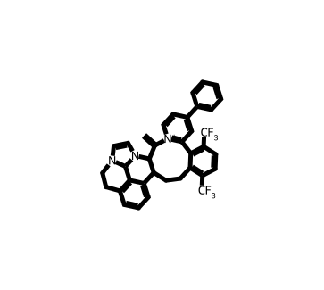 C=C1C2C(CCc3c(C(F)(F)F)ccc(C(F)(F)F)c3-c3cc(-c4ccccc4)cc[n+]31)c1cccc3c1C1N(C=CN21)CC3